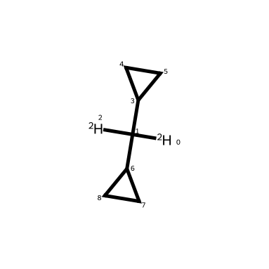 [2H]C([2H])(C1CC1)C1CC1